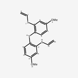 C=CSc1cc(OC)ccc1Sc1ccc(OC)cc1SC=C